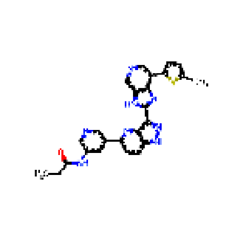 CCC(=O)Nc1cncc(-c2ccc3[nH]nc(-c4nc5c(-c6ccc(C)s6)cncc5[nH]4)c3n2)c1